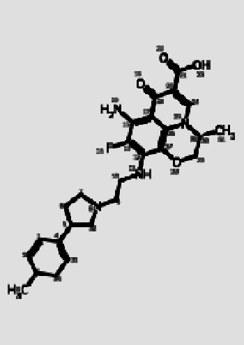 CC1C=CC(C2CCN(CCNc3c(F)c(N)c4c(=O)c(C(=O)O)cn5c4c3OC[C@@H]5C)C2)=CC1